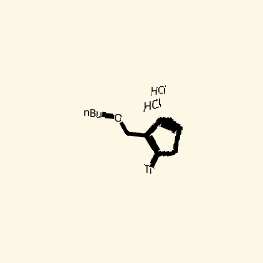 CCCCOCC1=[C]([Ti])CC=C1.Cl.Cl